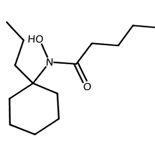 CCCCC(=O)N(O)C1(CCC)CCCCC1